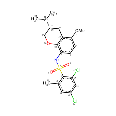 COc1ccc(NS(=O)(=O)c2c(C)cc(Cl)cc2Cl)c2c1C[C@@H]([As](C)C)CO2